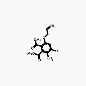 C=CCOc1cc(CC)c(C)c(C(=O)OC)c1C(=O)OC